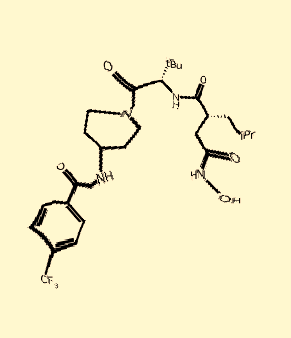 CC(C)C[C@H](CC(=O)NO)C(=O)N[C@H](C(=O)N1CCC(NC(=O)c2ccc(C(F)(F)F)cc2)CC1)C(C)(C)C